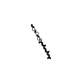 CCCOCCOCCO/N=C(\C)CC/C(C)=C/CC/C(C)=C/CC(C)C